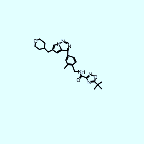 Cc1cc(-c2ncnn3cc(CC4CCOCC4)cc23)ccc1CNC(=O)c1noc(C(C)(C)C)n1